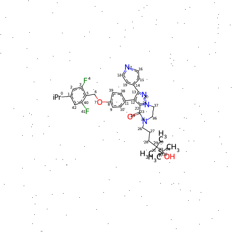 CC(C)c1cc(F)c(COc2ccc(-c3c(-c4ccncc4)nn4c3C(=O)N(CCCC(C)(C)[Si](C)(C)O)CC4)cc2)c(F)c1